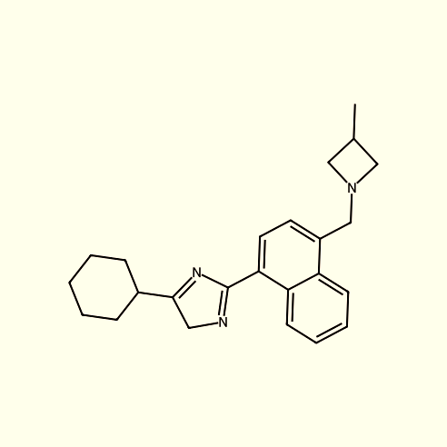 CC1CN(Cc2ccc(C3=NCC(C4CCCCC4)=N3)c3ccccc23)C1